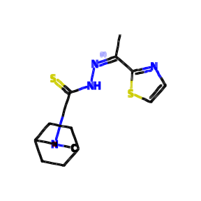 C/C(=N/NC(=S)N1CC2CCC(CC2)C1)c1nccs1